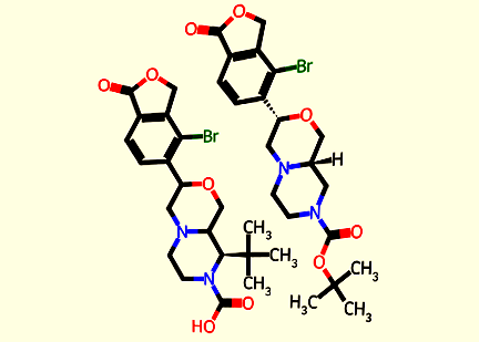 CC(C)(C)OC(=O)N1CCN2C[C@H](c3ccc4c(c3Br)COC4=O)OC[C@@H]2C1.CC(C)(C)[C@@H]1C2COC(c3ccc4c(c3Br)COC4=O)CN2CCN1C(=O)O